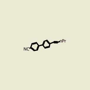 CCCC#Cc1ccc(-c2ccc(C#N)cc2)cc1